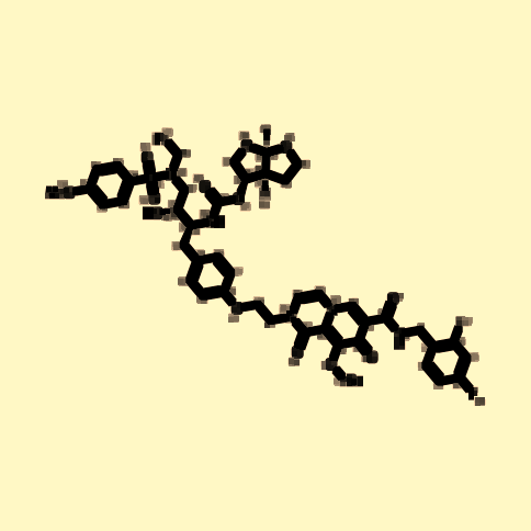 CCCCOc1c(=O)c(C(=O)NCc2ccc(F)cc2F)cn2ccn(CCOc3ccc(C[C@H](NC(=O)O[C@H]4CO[C@@]5(C)OCC[C@@H]45)[C@H](O)CN(CC(C)C)S(=O)(=O)c4ccc(OC)cc4)cc3)c(=O)c12